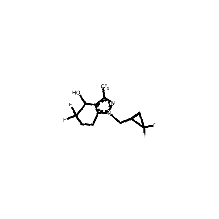 OC1c2c(C(F)(F)F)nn(CC3CC3(F)F)c2CCC1(F)F